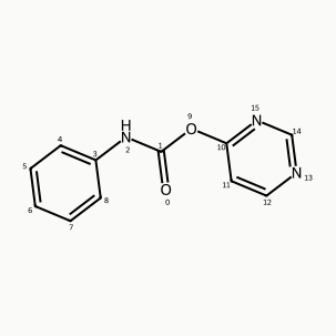 O=C(Nc1ccccc1)Oc1ccncn1